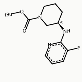 CC(C)(C)OC(=O)N1CCC[C@@H](Nc2ncccc2F)C1